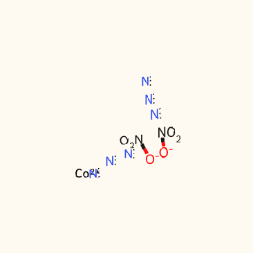 O=[N+]([O-])[O-].O=[N+]([O-])[O-].[Co+2].[N].[N].[N].[N].[N].[N]